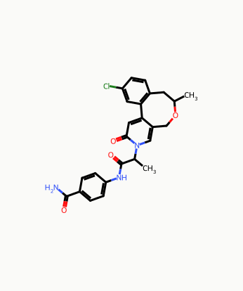 CC1Cc2ccc(Cl)cc2-c2cc(=O)n(C(C)C(=O)Nc3ccc(C(N)=O)cc3)cc2CO1